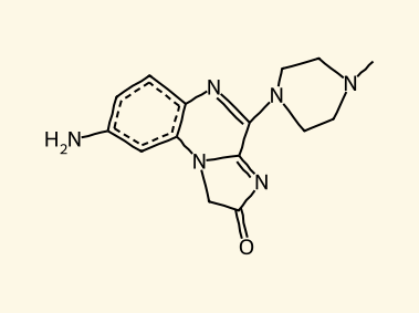 CN1CCN(C2=Nc3ccc(N)cc3N3CC(=O)N=C23)CC1